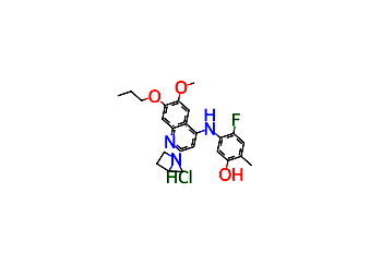 C1CN2CC12.CCCOc1cc2nccc(Nc3cc(O)c(C)cc3F)c2cc1OC.Cl